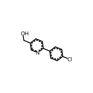 OCc1ccc(-c2ccc(Cl)cc2)nc1